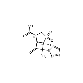 CC1(n2ccnn2)C(=O)N2[C@@H](C(=O)O)CS(=O)(=O)[C@H]21